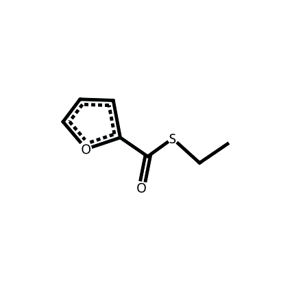 CCSC(=O)c1ccco1